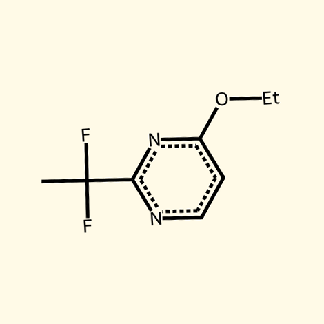 CCOc1ccnc(C(C)(F)F)n1